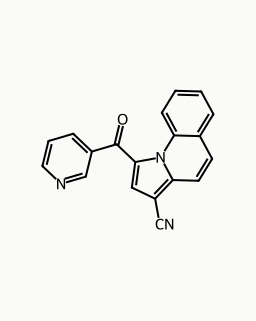 N#Cc1cc(C(=O)c2cccnc2)n2c1ccc1ccccc12